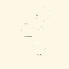 Brc1ccc(-c2cncc3c2[nH]c2ccncc23)cc1